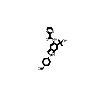 CC(C)(O)c1cc2nn([C@H]3CC[C@H](C=O)CC3)cc2cc1NC(=O)c1nccs1